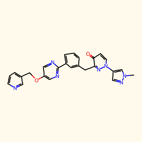 Cn1cc(-n2ccc(=O)c(Cc3cccc(-c4ncc(OCc5cccnc5)cn4)c3)n2)cn1